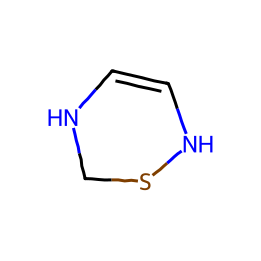 C1=CNSCN1